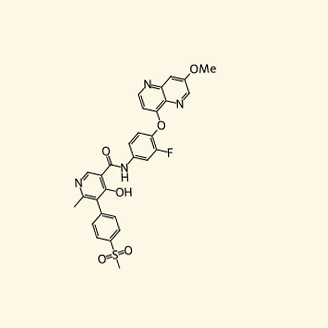 COc1cnc2c(Oc3ccc(NC(=O)c4cnc(C)c(-c5ccc(S(C)(=O)=O)cc5)c4O)cc3F)ccnc2c1